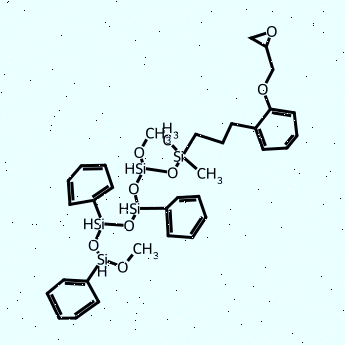 CO[SiH](O[SiH](O[SiH](O[SiH](OC)c1ccccc1)c1ccccc1)c1ccccc1)O[Si](C)(C)CCCc1ccccc1OCC1CO1